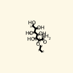 CCCO[C@@H](C(N)=O)[C@@H](O)[C@H](O)[C@H](O)C(O)CO